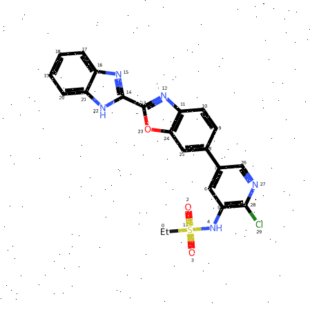 CCS(=O)(=O)Nc1cc(-c2ccc3nc(-c4nc5ccccc5[nH]4)oc3c2)cnc1Cl